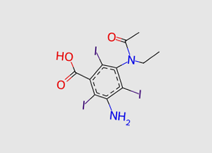 CCN(C(C)=O)c1c(I)c(N)c(I)c(C(=O)O)c1I